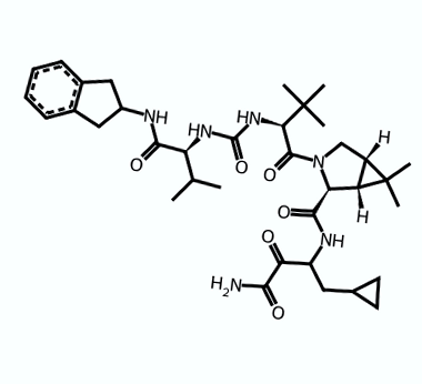 CC(C)[C@H](NC(=O)N[C@H](C(=O)N1C[C@H]2[C@@H]([C@H]1C(=O)NC(CC1CC1)C(=O)C(N)=O)C2(C)C)C(C)(C)C)C(=O)NC1Cc2ccccc2C1